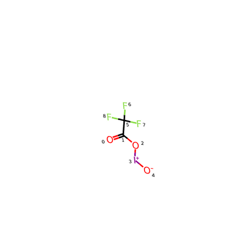 O=C(O[I+][O-])C(F)(F)F